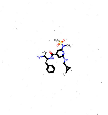 CCCC[C@H](N)[C@H](Cc1ccccc1)NC(=O)c1cc(NCC2CC2C)nc(N(C)S(C)(=O)=O)c1